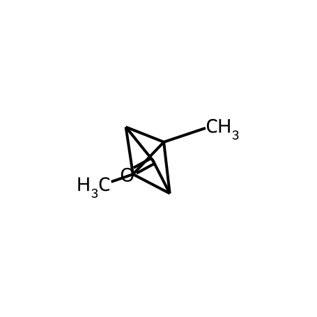 CC12C3C(=O)C1C32C